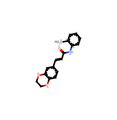 O=C(C=Cc1ccc2c(c1)OCCO2)Nc1ccccc1C(=O)O